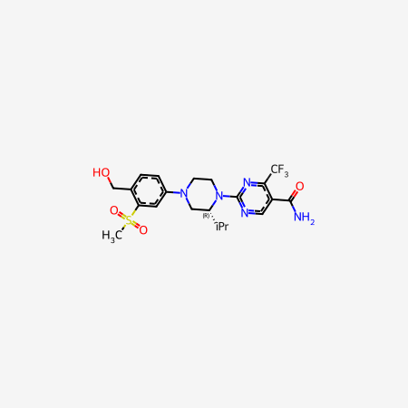 CC(C)[C@@H]1CN(c2ccc(CO)c(S(C)(=O)=O)c2)CCN1c1ncc(C(N)=O)c(C(F)(F)F)n1